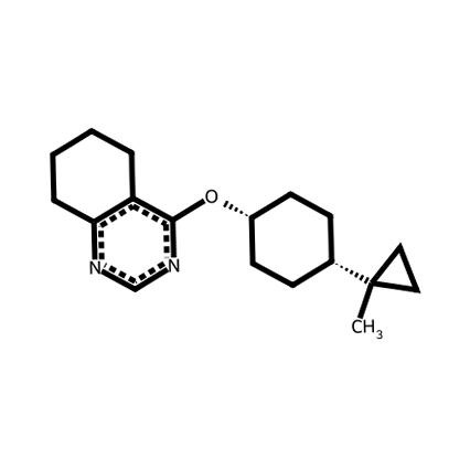 CC1([C@H]2CC[C@@H](Oc3ncnc4c3CCCC4)CC2)CC1